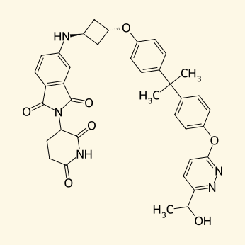 CC(O)c1ccc(Oc2ccc(C(C)(C)c3ccc(O[C@H]4C[C@H](Nc5ccc6c(c5)C(=O)N(C5CCC(=O)NC5=O)C6=O)C4)cc3)cc2)nn1